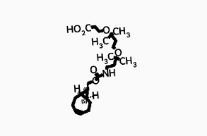 CC(C)(CCNC(=O)OC[C@@H]1[C@@H]2CCC#CCC[C@@H]21)OCCC(C)(C)OCCC(=O)O